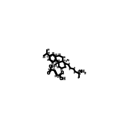 CC(N)CCCC[C@@]1(C)CCC[C@]2(C)c3ccc(C(C)C)cc3CCC12.O=C(O)/C=C/C(=O)O